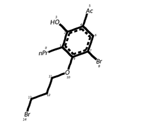 CCCc1c(O)c(C(C)=O)cc(Br)c1OCCCBr